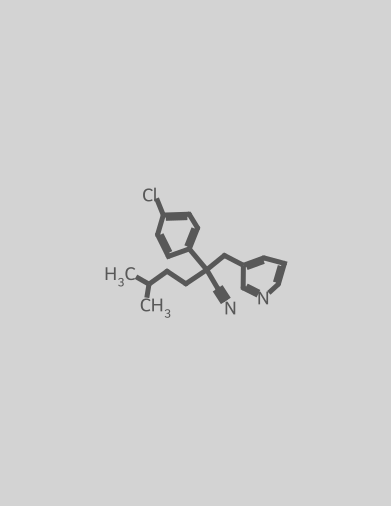 CC(C)CCC(C#N)(Cc1cccnc1)c1ccc(Cl)cc1